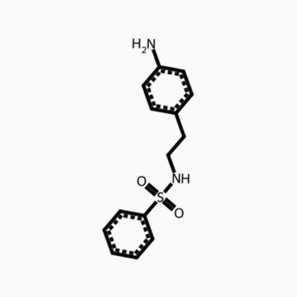 Nc1ccc(CCNS(=O)(=O)c2ccccc2)cc1